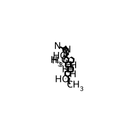 CCC[C@@]1(O)CC[C@H]2[C@@H](CC[C@@H]3[C@@H]2CC[C@@]2(C)[C@H]3CCC[C@@H]2[C@](C)(O)Cn2cc(C#N)cn2)C1